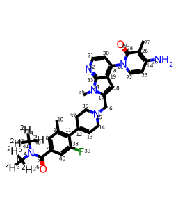 [2H]C([2H])([2H])N(C(=O)c1cc(C)c(C2=CCN(Cc3cc4c(-n5ccc(N)c(C)c5=O)ccnc4n3C)CC2)c(F)c1)C([2H])([2H])[2H]